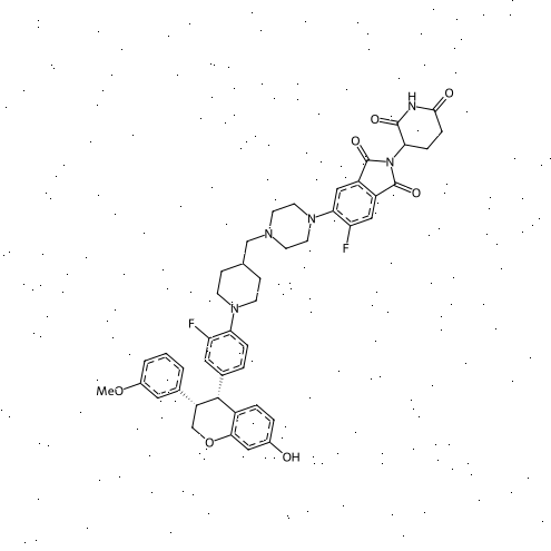 COc1cccc([C@H]2COc3cc(O)ccc3[C@H]2c2ccc(N3CCC(CN4CCN(c5cc6c(cc5F)C(=O)N(C5CCC(=O)NC5=O)C6=O)CC4)CC3)c(F)c2)c1